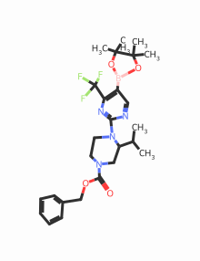 CC(C)C1CN(C(=O)OCc2ccccc2)CCN1c1ncc(B2OC(C)(C)C(C)(C)O2)c(C(F)(F)F)n1